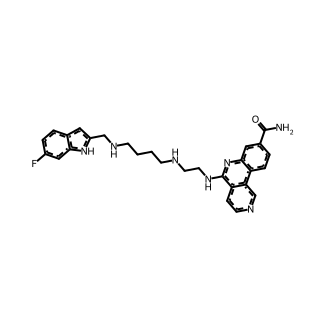 NC(=O)c1ccc2c(c1)nc(NCCNCCCCNCc1cc3ccc(F)cc3[nH]1)c1ccncc12